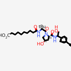 C#Cc1ccc(C(CO)NC(=O)[C@@H]2C[C@@H](O)CN2C(=O)C(NC(=O)CCCCCCCCC(=O)O)C(C)(C)C)cc1